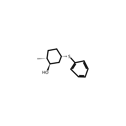 C[C@@H]1CC[C@H](Sc2ccccc2)C[C@H]1O